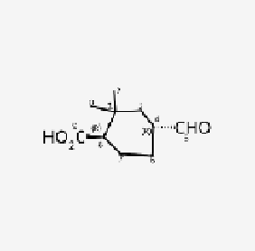 CC1(C)C[C@H](C=O)CC[C@H]1C(=O)O